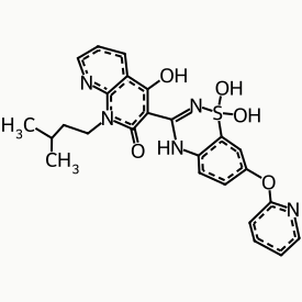 CC(C)CCn1c(=O)c(C2=NS(O)(O)c3cc(Oc4ccccn4)ccc3N2)c(O)c2cccnc21